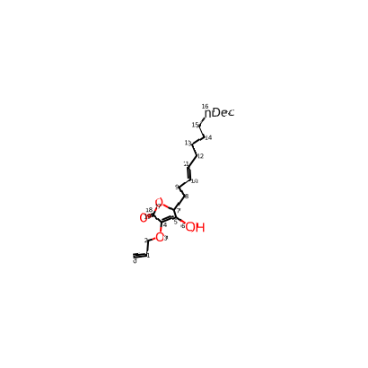 C=CCOC1=C(O)C(CCC=CCCCCCCCCCCCCCC)OC1=O